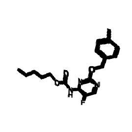 CCCCCOC(=O)Nc1nc(OCc2ccc(C)cc2)ncc1F